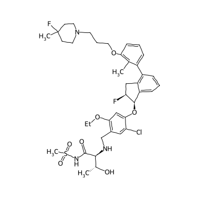 CCOc1cc(O[C@@H]2c3cccc(-c4cccc(OCCCN5CCC(C)(F)CC5)c4C)c3C[C@@H]2F)c(Cl)cc1CN[C@H](C(=O)NS(C)(=O)=O)[C@@H](C)O